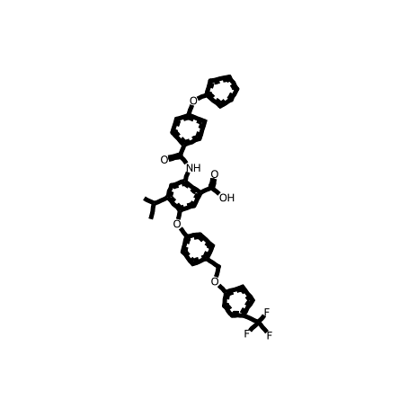 CC(C)c1cc(NC(=O)c2ccc(Oc3ccccc3)cc2)c(C(=O)O)cc1Oc1ccc(COc2ccc(C(F)(F)F)cc2)cc1